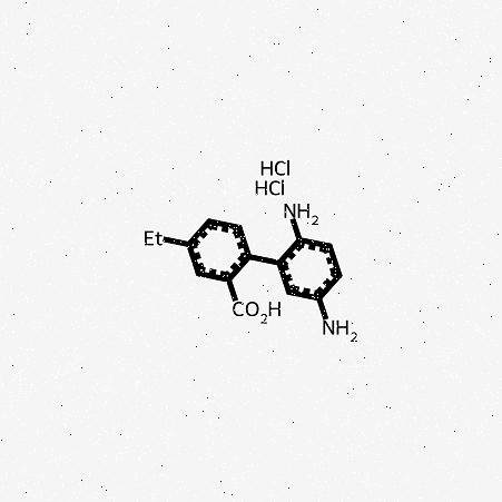 CCc1ccc(-c2cc(N)ccc2N)c(C(=O)O)c1.Cl.Cl